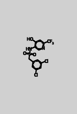 O=S(=O)(Cc1cc(Cl)cc(Cl)c1)Nc1cnc(C(F)(F)F)cc1O